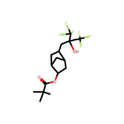 CC(C)(C)C(=O)OC1CC2CC1CC2CC(O)(C(F)(F)F)C(F)(F)F